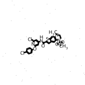 CN1CCN(S(C)(=O)=O)c2cc3cc(C(=O)Nc4cc(Cl)nc(Oc5ccc(Cl)cc5)c4)sc3cc21